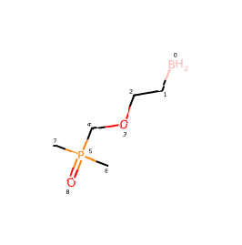 BCCOCP(C)(C)=O